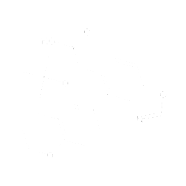 Cc1nc2c(-c3ccc4c(c3)CCCO4)c(C(OC(C)(C)C)C(=O)O)ccc2o1